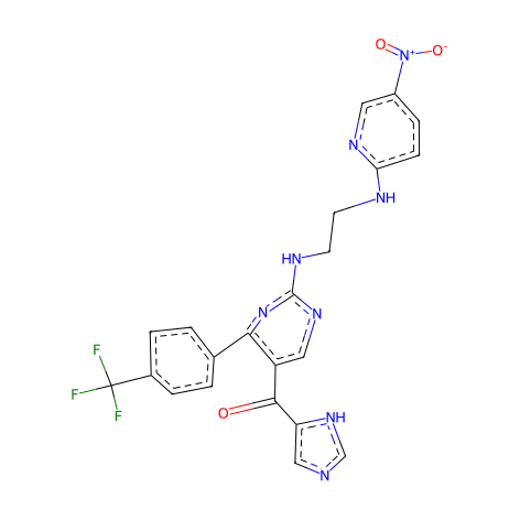 O=C(c1cnc[nH]1)c1cnc(NCCNc2ccc([N+](=O)[O-])cn2)nc1-c1ccc(C(F)(F)F)cc1